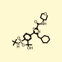 CC(C)(C)NS(=O)(=O)c1ccc(-c2sc(C(=O)NC3CCOCC3)nc2CC2CCCCC2)cc1C(C)(C)O